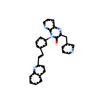 O=c1c(Cc2cccnc2)nc2cccnc2n1-c1cccc(/C=C/c2ccc3ccccc3n2)c1